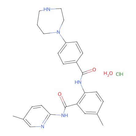 Cc1ccc(NC(=O)c2cc(C)ccc2NC(=O)c2ccc(N3CCCNCC3)cc2)nc1.Cl.O